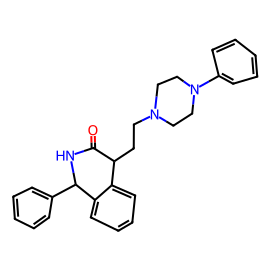 O=C1NC(c2ccccc2)c2ccccc2C1CCN1CCN(c2ccccc2)CC1